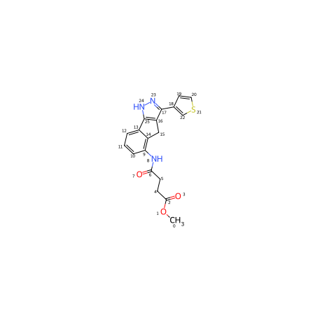 COC(=O)CCC(=O)Nc1cccc2c1Cc1c(-c3ccsc3)n[nH]c1-2